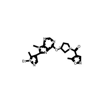 CCn1ncc(-c2nc3c(O[C@H]4CCN(C(=O)c5cnoc5C)C4)ncnc3n2C)c1C